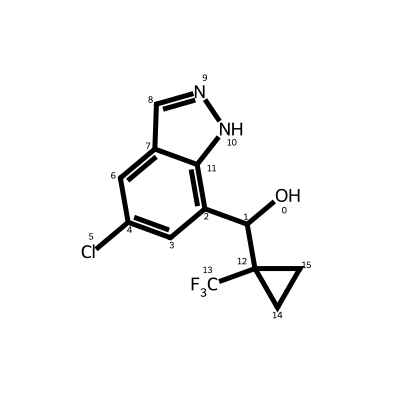 OC(c1cc(Cl)cc2cn[nH]c12)C1(C(F)(F)F)CC1